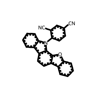 N#Cc1ccc(-n2c3ccccc3c3ccc4c5ccccc5oc4c32)c(C#N)c1